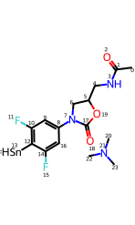 CC(=O)NCC1CN(c2cc(F)[c]([SnH])c(F)c2)C(=O)O1.CN(C)C